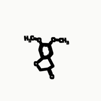 COc1cc2c(cc1OC)OCC(=O)C2